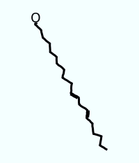 CCCCC/C=C/C/C=C/CCCCCCCCCC=O